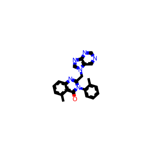 Cc1ccccc1-n1c(Cn2cnc3ncncc32)nc2cccc(C)c2c1=O